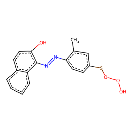 Cc1cc(SOOO)ccc1N=Nc1c(O)ccc2ccccc12